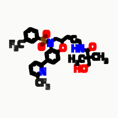 CC(C)(CO)C(=O)NC=C=CC1CN(S(=O)(=O)c2cccc(C(F)(F)F)c2)c2cc(-c3cccc(C(F)(F)F)n3)ccc2O1